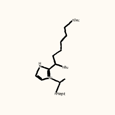 CCCCCCCCCCCCCCCC(CCCC)c1[nH]cc[n+]1C(C)CCCCCCC